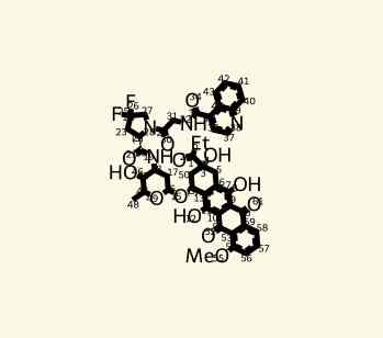 CCC(=O)[C@]1(O)Cc2c(O)c3c(c(O)c2[C@@H](OC2CC(NC(=O)[C@@H]4CC(F)(F)CN4C(=O)CNC(=O)c4ccnc5ccccc45)C(O)C(C)O2)C1)C(=O)c1c(OC)cccc1C3=O